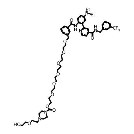 CCN(CC)c1ccc(NC(=O)c2cccc(COCCOCCOCCOCCOCCOCCOC(=O)N3CCN(CCOCCO)CC3)c2)c(-c2cc(C(=O)NCc3cccc(C(F)(F)F)c3)ccn2)c1